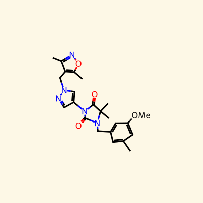 COc1cc(C)cc(CN2C(=O)N(c3cnn(Cc4c(C)noc4C)c3)C(=O)C2(C)C)c1